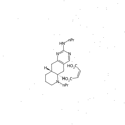 CCCNc1ncc2c(n1)C[C@H]1CCCN(CCC)[C@@H]1C2.O=C(O)/C=C\C(=O)O